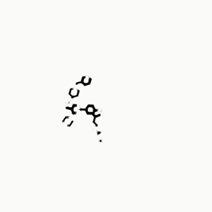 CC(C)(C)OC(=O)NCCc1c[nH]c2ccc(-c3nc(N4CCOCC4)c4cnn(C5CCN(Cc6cccnc6)CC5)c4n3)cc12